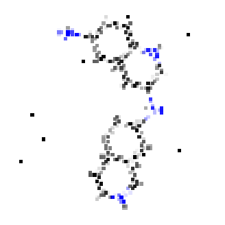 Nc1ccc2ncc(Nc3ccc4ccncc4c3)cc2c1